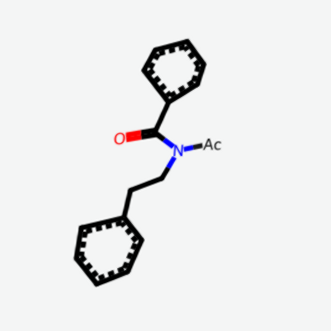 CC(=O)N(CCc1ccccc1)C(=O)c1ccccc1